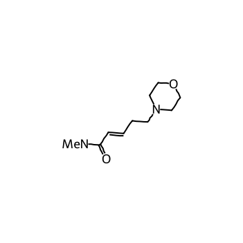 CNC(=O)/C=C/CCN1CCOCC1